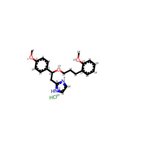 COc1ccc(C(Cc2ncc[nH]2)OCCCc2ccccc2OC)cc1.Cl